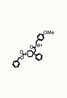 COc1ccc(CNC(=O)CC2(c3ccccc3)CCN(C(=O)OCc3ccccc3)CC2)cc1